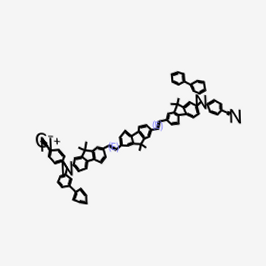 [C-]#[N+]c1ccc(N(c2cccc(-c3ccccc3)c2)c2ccc3c(c2)C(C)(C)c2cc(/C=C/c4ccc5c(c4)C(C)(C)c4cc(/C=C/c6ccc7c(c6)C(C)(C)c6cc(N(c8ccc(C#N)cc8)c8cccc(-c9ccccc9)c8)ccc6-7)ccc4-5)ccc2-3)cc1